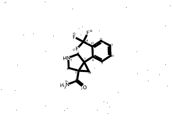 NC(=O)C12CNCC1(c1ccccc1C(F)(F)F)C2